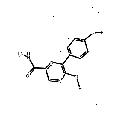 CCOc1ccc(-c2nc(C(=O)NN)cnc2OCC)cc1